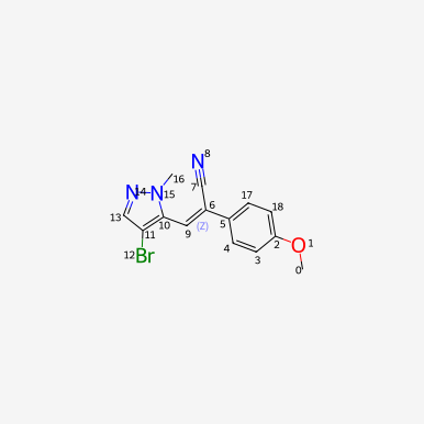 COc1ccc(/C(C#N)=C/c2c(Br)cnn2C)cc1